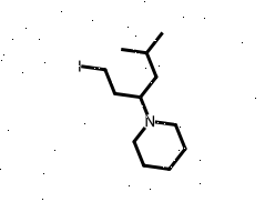 CC(C)CC(CCI)N1CCCCC1